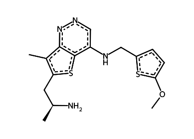 COc1ccc(CNc2cnnc3c(C)c(C[C@H](C)N)sc23)s1